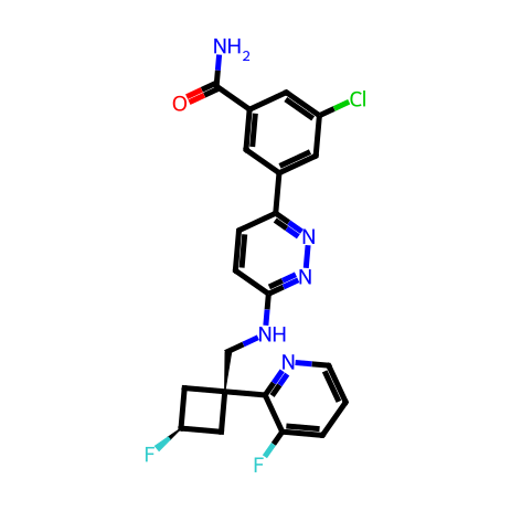 NC(=O)c1cc(Cl)cc(-c2ccc(NC[C@]3(c4ncccc4F)C[C@H](F)C3)nn2)c1